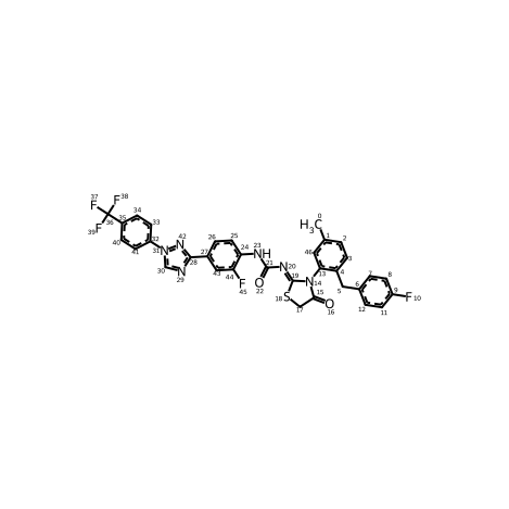 Cc1ccc(Cc2ccc(F)cc2)c(N2C(=O)CSC2=NC(=O)Nc2ccc(-c3ncn(-c4ccc(C(F)(F)F)cc4)n3)cc2F)c1